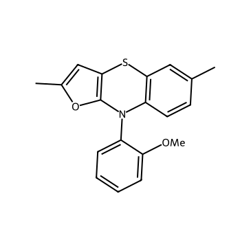 COc1ccccc1N1c2ccc(C)cc2Sc2cc(C)oc21